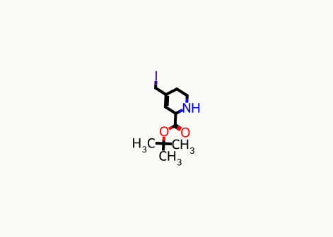 CC(C)(C)OC(=O)C1C=C(CI)CCN1